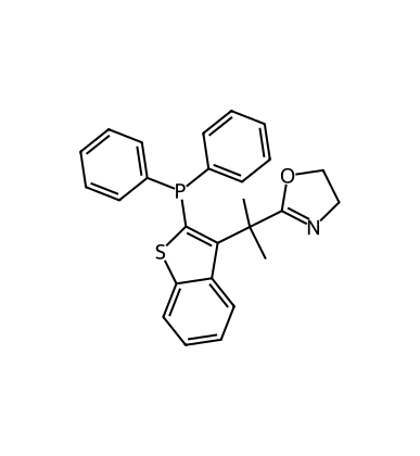 CC(C)(C1=NCCO1)c1c(P(c2ccccc2)c2ccccc2)sc2ccccc12